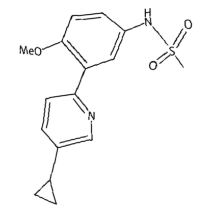 COc1ccc(NS(C)(=O)=O)cc1-c1ccc(C2CC2)cn1